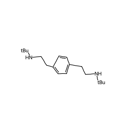 CC(C)(C)NCCc1ccc(CCNC(C)(C)C)cc1